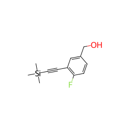 C[Si](C)(C)C#Cc1cc(CO)ccc1F